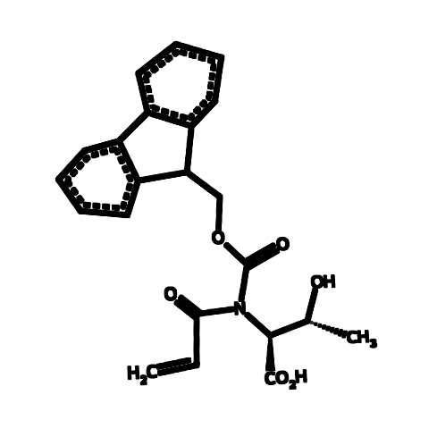 C=CC(=O)N(C(=O)OCC1c2ccccc2-c2ccccc21)[C@H](C(=O)O)[C@@H](C)O